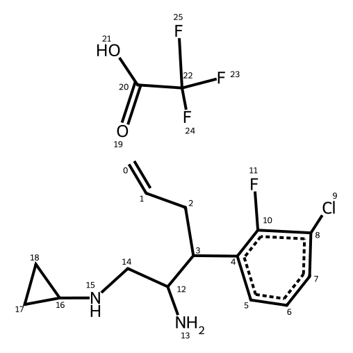 C=CCC(c1cccc(Cl)c1F)C(N)CNC1CC1.O=C(O)C(F)(F)F